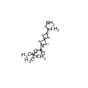 C[C@@H](CN)C1CC2(C1)CN(C(=O)OC(C)(C)C)C2